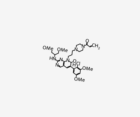 C=CC(=O)N1CCN(CCCN2c3nc(NC(COC)COC)ncc3C=C(c3cc(OC)cc(OC)c3Cl)C2O)CC1